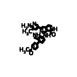 CC(=O)N1CCC(c2ccc(Nc3nc(-c4cnc(N)c(C)c4)cc4c3C(C=O)NC=C4)cc2CN)CC1